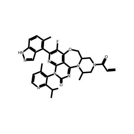 C=CC(=O)N1CC(C)N2c3nc(=O)n(-c4c(C)ccnc4C(C)C)c4nc(-c5c(C)ccc6[nH]ncc56)c(F)c(c34)OCC2C1